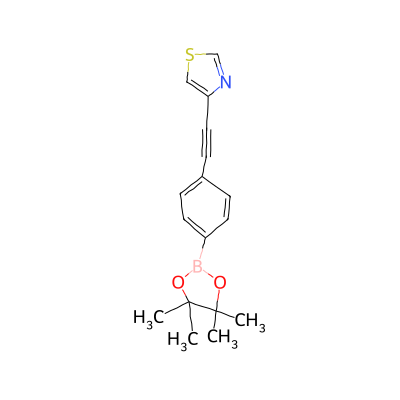 CC1(C)OB(c2ccc(C#Cc3cscn3)cc2)OC1(C)C